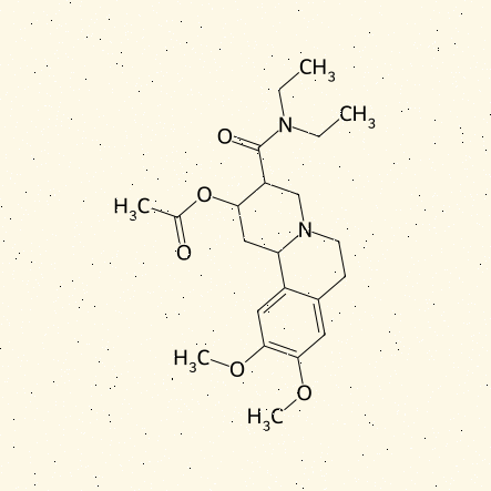 CCN(CC)C(=O)C1CN2CCc3cc(OC)c(OC)cc3C2CC1OC(C)=O